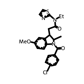 CCN(C(=O)CC1c2cc(OC)ccc2N(C(=O)c2ccc(Cl)cc2)C1C)c1nccs1